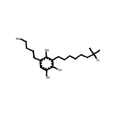 CCC(C)(C)CCCCCCc1c(O)c(O)cc(CCCCC(C)(C)C)c1O